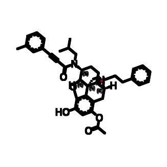 CC(=O)Oc1cc(O)c2c3c1C[C@@H]1[C@@H]4CC[C@H](N(CC(C)C)C(=O)C#Cc5cccc(C)c5)[C@H](O2)[C@]34CCN1CCc1ccccc1